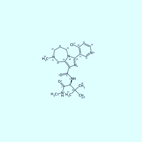 CNC(=O)[C@@H](NC(=O)c1nc(-c2cnccc2Cl)n2c1CN(C)CCC2)C(C)(C)C